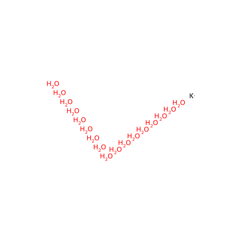 O.O.O.O.O.O.O.O.O.O.O.O.O.O.O.O.O.[K]